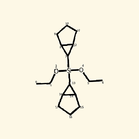 CCO[Si](OCC)(C1C2CCCC21)C1C2CCCC21